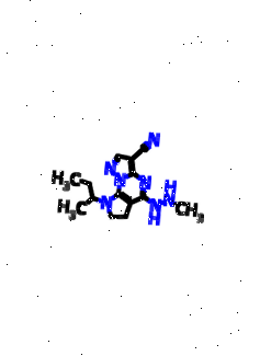 CCC(C)N1CCc2c(NNC)nc3c(C#N)cnn3c21